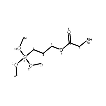 CO[Si](CCCOC(=O)CS)(OC)OC